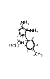 Cc1ccc(-n2ncc(N)c2N)cc1.Cl.Cl